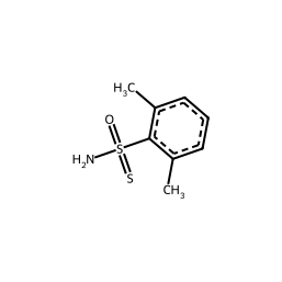 Cc1cccc(C)c1S(N)(=O)=S